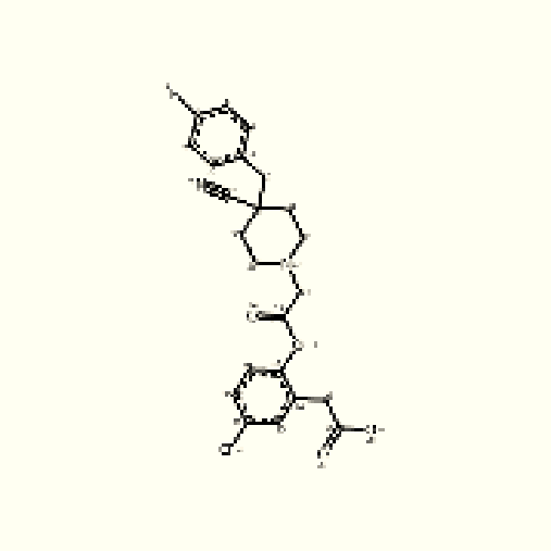 N#CC1(Cc2ccc(F)cc2)CCN(CC(=O)Oc2ccc(Cl)cc2CC(=O)O)CC1